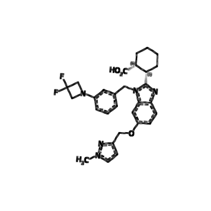 Cn1ccc(COc2ccc3nc([C@H]4CCCC[C@H]4C(=O)O)n(Cc4cccc(N5CC(F)(F)C5)c4)c3c2)n1